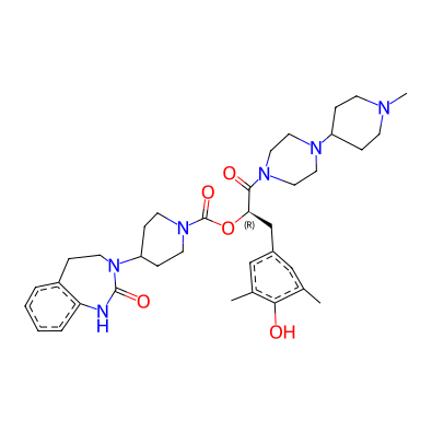 Cc1cc(C[C@@H](OC(=O)N2CCC(N3CCc4ccccc4NC3=O)CC2)C(=O)N2CCN(C3CCN(C)CC3)CC2)cc(C)c1O